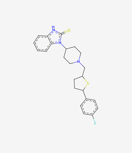 Fc1ccc(C2CCC(CN3CCC(n4c(=S)[nH]c5ccccc54)CC3)S2)cc1